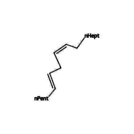 CCCCCC=CC/C=C\CCCCCCCC